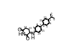 CC(C)c1ccc(-c2ccc(NC3CCC(=O)NC3=O)cc2)cc1